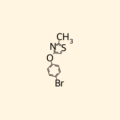 Cc1nc(Oc2ccc(Br)cc2)cs1